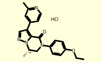 CCOc1ccc(N2C[C@H](C)n3ncc(-c4ccnc(C)c4)c3C2=O)cc1.Cl